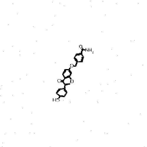 NC(=O)c1ccc(COc2ccc3c(=O)c(-c4ccc(O)cc4)coc3c2)cc1